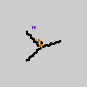 CCCCCCCC[PH](CP)(CCCCCCCC)CCCCCCCC.I